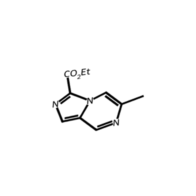 CCOC(=O)c1ncc2cnc(C)cn12